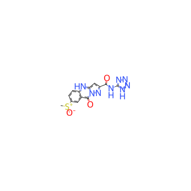 C[S+]([O-])c1ccc2[nH]c3cc(C(=O)Nc4nnn[nH]4)nn3c(=O)c2c1